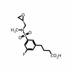 CN(C[C@H]1CO1)S(=O)(=O)c1cc(F)cc(CCCC(=O)O)c1